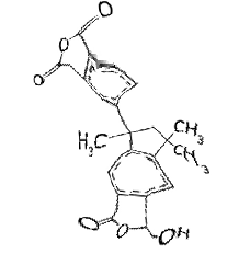 CC1(C)CC(C)(c2ccc3c(c2)C(=O)OC3=O)c2cc3c(cc21)C(O)OC3=O